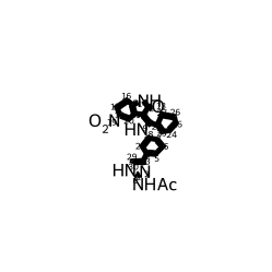 CC(=O)Nc1nc(-c2cccc(NC(=C3C(=O)Nc4ccc([N+](=O)[O-])cc43)c3ccccc3)c2)c[nH]1